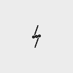 CCCCCCCCCCCCn1c2ccccc2c2cc3c(cc21)c1ccccc1n3CCCCCCCCCCCC